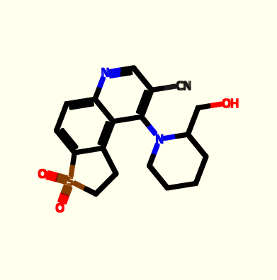 N#Cc1cnc2ccc3c(c2c1N1CCCCC1CO)CCS3(=O)=O